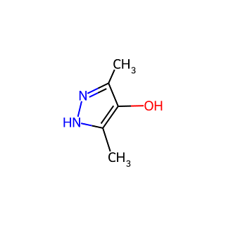 Cc1n[nH]c(C)c1O